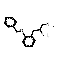 NCC(N)Cc1ccccc1OCc1ccccc1